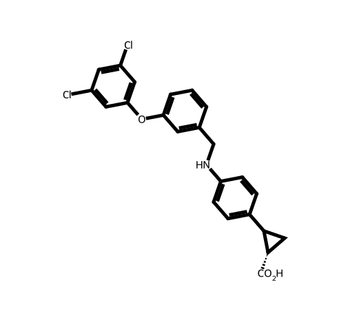 O=C(O)[C@H]1CC1c1ccc(NCc2cccc(Oc3cc(Cl)cc(Cl)c3)c2)cc1